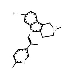 C/C(=C\n1c2c(c3ccc(C(F)(F)F)cc31)CN(C)CC2)c1ccc(C)nc1